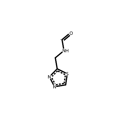 O=[C]NCc1nncs1